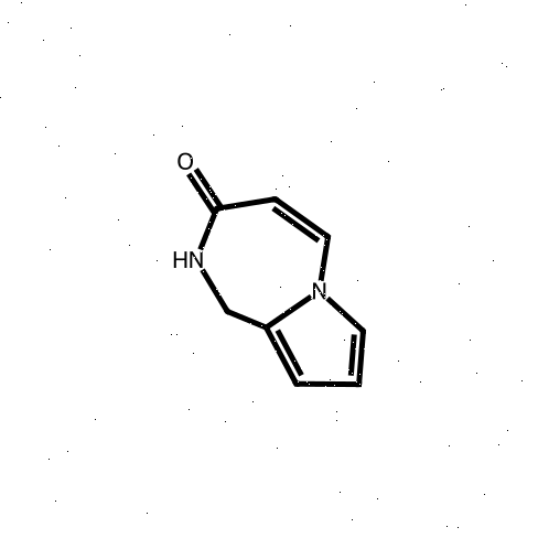 O=C1C=Cn2cccc2CN1